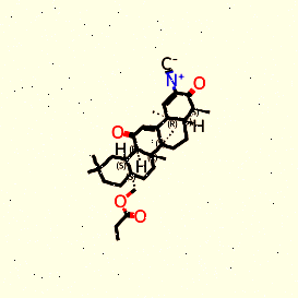 [C-]#[N+]C1=C[C@]2(C)C3=CC(=O)[C@@H]4[C@@H]5CC(C)(C)CC[C@]5(COC(=O)CC)CC[C@@]4(C)[C@]3(C)CC[C@H]2[C@H](C)C1=O